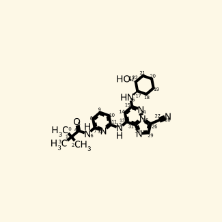 CC(C)(C)C(=O)Nc1cccc(Nc2cc(N[C@@H]3CCCC[C@H]3O)nn3c(C#N)cnc23)n1